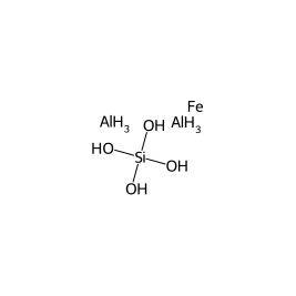 O[Si](O)(O)O.[AlH3].[AlH3].[Fe]